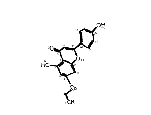 N#CCOc1cc(O)c2c(=O)cc(-c3ccc(O)cc3)oc2c1